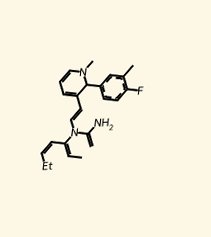 C=C(N)N(/C=C/C1=CC=CN(C)C1c1ccc(F)c(C)c1)C(/C=C\CC)=C\C